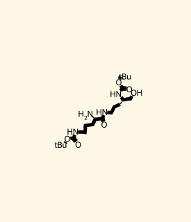 CC(C)(C)OC(=O)NCCC[C@H](N)C(=O)NCCC[C@@H](CO)NC(=O)OC(C)(C)C